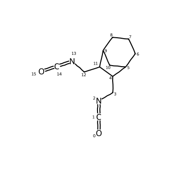 O=C=NCC1C2CCCC(C2)C1CN=C=O